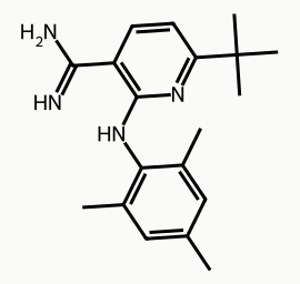 Cc1cc(C)c(Nc2nc(C(C)(C)C)ccc2C(=N)N)c(C)c1